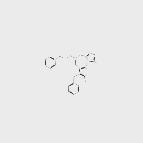 Cc1sc2c(c1Cc1ccccc1)CN(C(O)OCc1ccccc1)Cc1nnc(C)n1-2